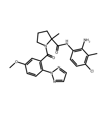 COc1ccc(-n2nccn2)c(C(=O)N2CCCC2(C)C(=O)Nc2ccc(Cl)c(C)c2N)c1